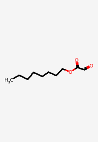 CCCCCCCCOC(=O)[C]=O